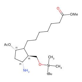 COC(=O)CCCCCCC1[C@@H](OC(C)=O)C[C@@H](N)[C@@H]1CO[Si](C)(C)C(C)(C)C